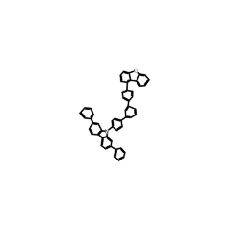 c1ccc(-c2ccc3c4ccc(-c5ccccc5)cc4n(-c4ccc(-c5cccc(-c6ccc(-c7cccc8oc9ccccc9c78)cc6)c5)cc4)c3c2)cc1